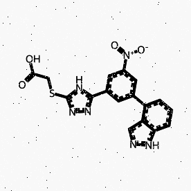 O=C(O)CSc1nnc(-c2cc(-c3cccc4[nH]ncc34)cc([N+](=O)[O-])c2)[nH]1